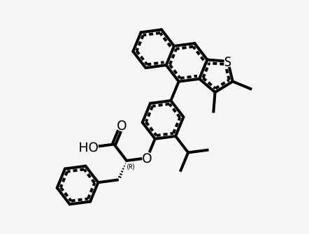 Cc1sc2cc3ccccc3c(-c3ccc(O[C@H](Cc4ccccc4)C(=O)O)c(C(C)C)c3)c2c1C